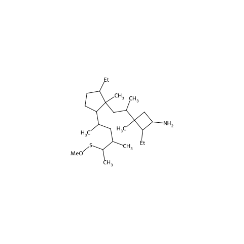 CCC1CCC(C(C)CC(C)C(C)SOC)C1(C)CC(C)C1(C)CC(N)C1CC